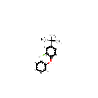 CC(C)(C)c1ccc(Oc2ccccc2)c(F)c1